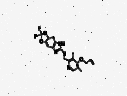 C=CCOc1c(C)cnc(CSc2nc3cc4c(cc3[nH]2)OC(F)(F)O4)c1C